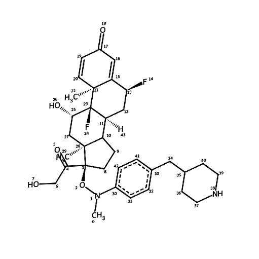 CN(O[C@]1(C(=O)CO)CCC2[C@@H]3C[C@H](F)C4=CC(=O)C=C[C@]4(C)[C@@]3(F)[C@@H](O)C[C@@]21C)c1ccc(CC2CCNCC2)cc1